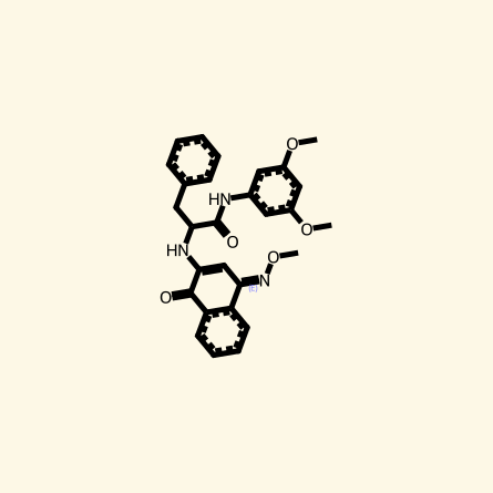 CO/N=C1\C=C(NC(Cc2ccccc2)C(=O)Nc2cc(OC)cc(OC)c2)C(=O)c2ccccc21